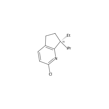 CC[C@@]1(C(C)C)CCc2ccc(Cl)nc21